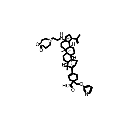 C=C(C)C1CC[C@]2(NCCN3CCS(=O)(=O)CC3)CC[C@]3(C)[C@H](CC[C@@H]4[C@@]5(C)CC=C(C6=CCC(COc7cccnc7)(C(=O)O)CC6)C(C)(C)[C@@H]5CC[C@]43C)[C@@H]12